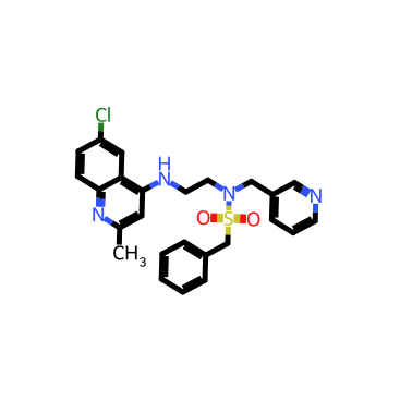 Cc1cc(NCCN(Cc2cccnc2)S(=O)(=O)Cc2ccccc2)c2cc(Cl)ccc2n1